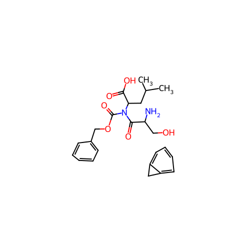 CC(C)CC(C(=O)O)N(C(=O)OCc1ccccc1)C(=O)C(N)CO.c1ccc2c(c1)C2